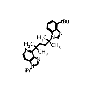 CC(C)n1cnc2c(C(C)(C)CCC(C)(C)n3cnc4c(C(C)(C)C)cccc43)nccc21